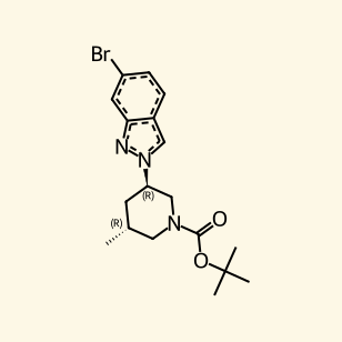 C[C@@H]1C[C@@H](n2cc3ccc(Br)cc3n2)CN(C(=O)OC(C)(C)C)C1